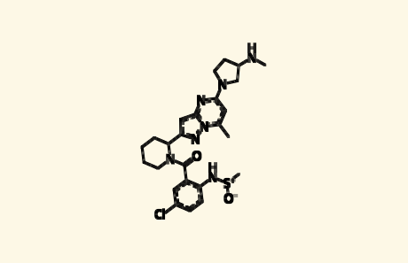 CNC1CCN(c2cc(C)n3nc(C4CCCCN4C(=O)c4cc(Cl)ccc4N[S+](C)[O-])cc3n2)C1